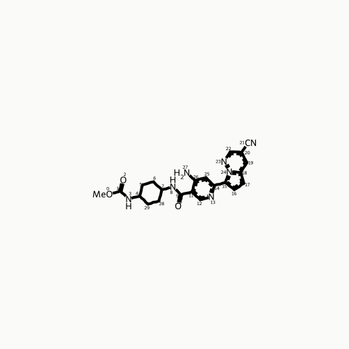 COC(=O)NC1CCC(NC(=O)c2cnc(-c3ccc4cc(C#N)cnn34)cc2N)CC1